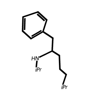 CC(C)CCCC(Cc1ccccc1)NC(C)C